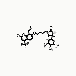 CCCc1c(OCCCCN2C(=O)NC(C)(c3cc(OC)c(OC)c(OC)c3)C2=O)ccc2c(C(F)(F)F)cc(=O)oc12